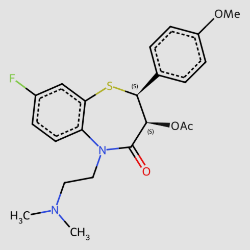 COc1ccc([C@@H]2Sc3cc(F)ccc3N(CCN(C)C)C(=O)[C@@H]2OC(C)=O)cc1